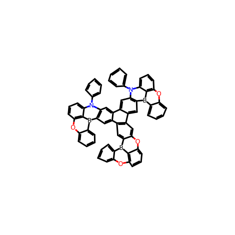 c1ccc(N2c3cc4c(cc3B3c5ccccc5Oc5cccc2c53)c2cc3c(cc2c2cc5c(cc24)N(c2ccccc2)c2cccc4c2B5c2ccccc2O4)B2c4ccccc4Oc4cccc(c42)O3)cc1